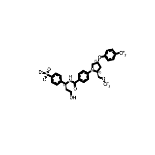 CCS(=O)(=O)c1ccc([C@H](CCO)NC(=O)c2ccc(N3C[C@@H](Oc4ccc(C(F)(F)F)cc4)C[C@H]3COC(F)(F)F)cc2)cc1